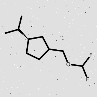 CC(C)[C@@H]1CCC(COC(F)F)C1